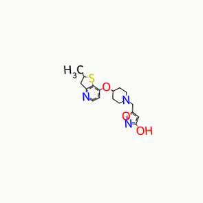 CC1Cc2nccc(OC3CCN(Cc4cc(O)no4)CC3)c2S1